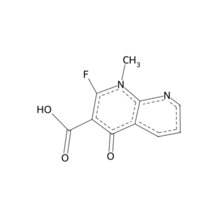 Cn1c(F)c(C(=O)O)c(=O)c2cccnc21